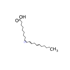 CCCCCC=CCC=C/C=C\CCCCCCCC(=O)O